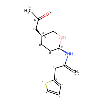 C=C(Cc1cccs1)N[C@@H]1BC[C@H](CC(C)=O)CC1